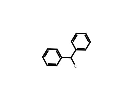 ClC(c1cc[c]cc1)c1ccccc1